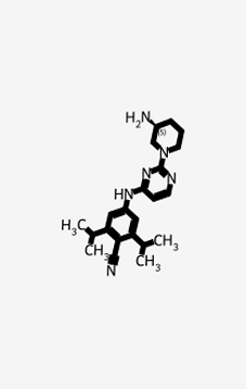 CC(C)c1cc(Nc2ccnc(N3CCC[C@H](N)C3)n2)cc(C(C)C)c1C#N